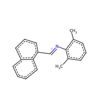 Cc1cccc(C)c1/N=C/c1cccc2ccccc12